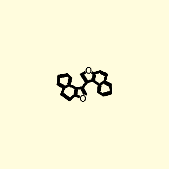 c1ccc2c(c1)ccc1occ(-c3coc4ccc5ccccc5c34)c12